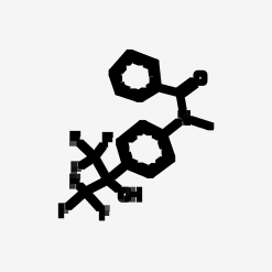 CN(C(=O)c1ccccc1)c1ccc(C(O)(C(F)(F)F)C(F)(F)F)cc1